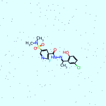 C/C(=N\NC(=O)c1cc(S(=O)(=O)N(C)C)cnc1F)c1cc(Cl)ccc1O